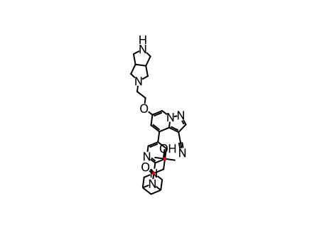 CC(C)(O)CC(=O)N1C2CC1CN(c1ccc(-c3cc(OCCN4CC5CNCC5C4)cn4ncc(C#N)c34)cn1)C2